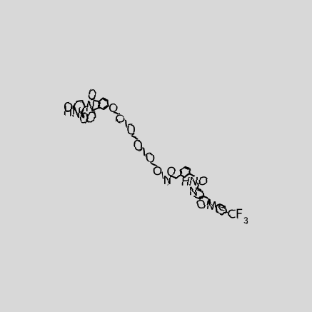 COc1cnc(C(=O)NCc2cccc(CC(=O)N(C)CCOCCOCCOCCOCCOCCOc3ccc4c(c3)C(=O)N(C3CCC(=O)NC3=O)C4=O)c2)cc1/C=C/[C@H]1CC[C@H](C(F)(F)F)CC1